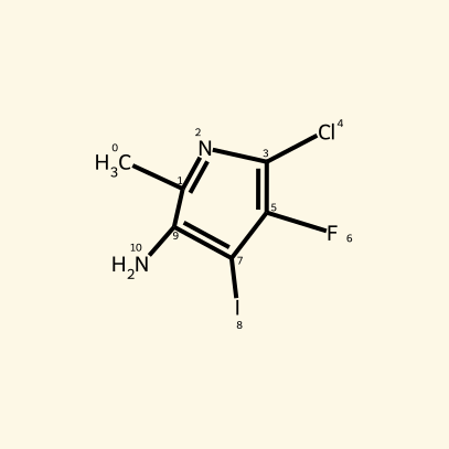 Cc1nc(Cl)c(F)c(I)c1N